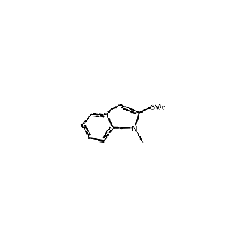 CSc1cc2ccccc2n1C